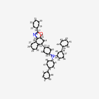 c1ccc(-c2ccc(N(c3ccc(-c4cc5oc(-c6ccccc6)nc5c5ccccc45)cc3)c3cccc(-c4ccccc4)c3)cc2)cc1